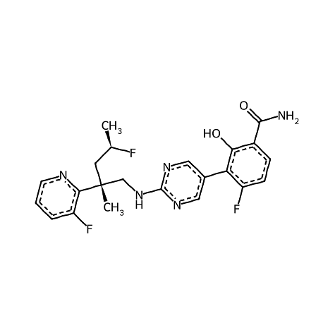 C[C@@H](F)C[C@](C)(CNc1ncc(-c2c(F)ccc(C(N)=O)c2O)cn1)c1ncccc1F